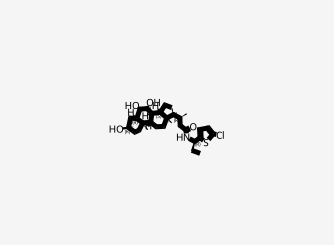 CC[C@@H](NC(=O)C[C@@H](C)[C@H]1CC[C@H]2[C@@H]3[C@H](O)[C@H](O)[C@@H]4C[C@H](O)CC[C@]4(C)[C@H]3CC[C@]12C)c1ccc(Cl)s1